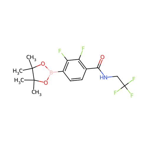 CC1(C)OB(c2ccc(C(=O)NCC(F)(F)F)c(F)c2F)OC1(C)C